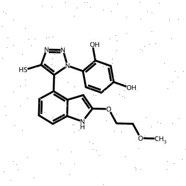 COCCOc1cc2c(-c3c(S)nnn3-c3ccc(O)cc3O)cccc2[nH]1